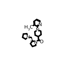 Cc1cccnc1N1CCC(C(=O)N2CCC[C@H]2CN2CCCC2)CC1